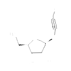 CC#CO[C@@H]1O[C@H](CO)[C@@H](O)[C@H]1O